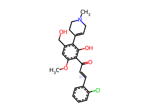 COc1cc(CO)c(C2=CCN(C)CC2)c(O)c1C(=O)/C=C/c1ccccc1Cl